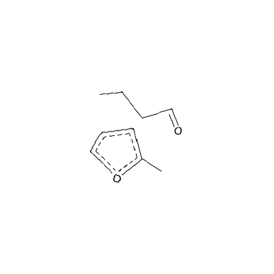 CCCC=O.Cc1ccco1